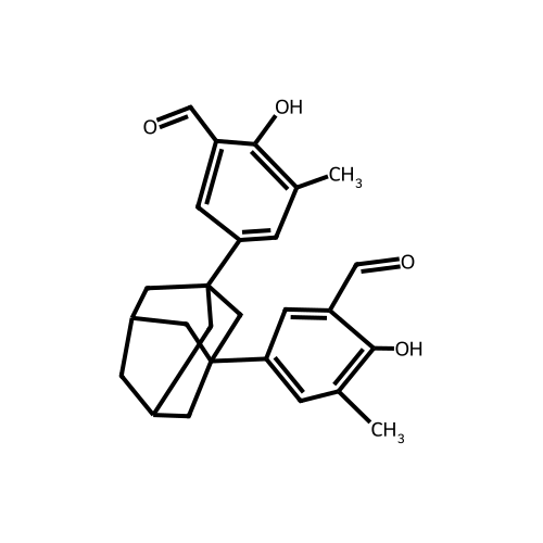 Cc1cc(C23CC4CC(C2)CC(c2cc(C)c(O)c(C=O)c2)(C4)C3)cc(C=O)c1O